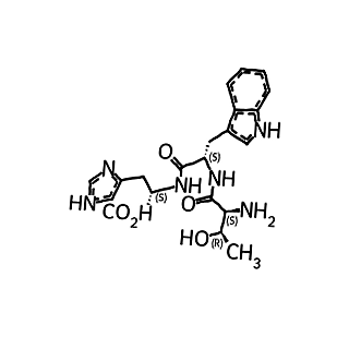 C[C@@H](O)[C@H](N)C(=O)N[C@@H](Cc1c[nH]c2ccccc12)C(=O)N[C@@H](Cc1c[nH]cn1)C(=O)O